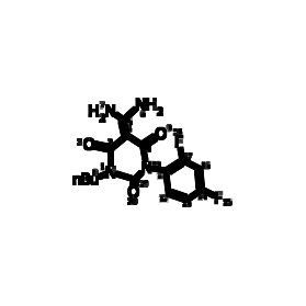 CCCCN1C(=O)C(=C(N)N)C(=O)N(c2ccc(F)cc2F)C1=O